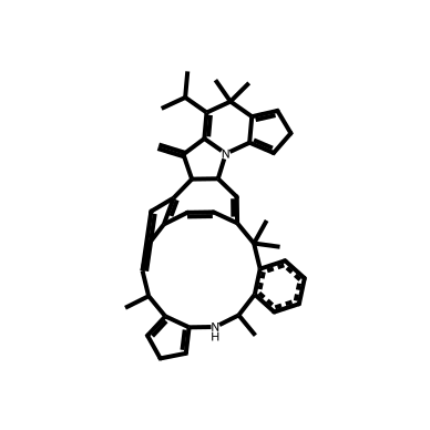 C=C1C2=C(C(C)C)C(C)(C)C3=CCC=C3N2C2/C=C3\C=C/C4=C(C=C(C4)C(C)C4=CCC=C4NC(C)c4ccccc4C3(C)C)C12